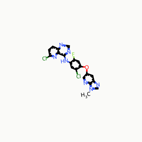 Cn1cnc2cc(Oc3cc(F)c(Nc4ncnc5ccc(Cl)nc45)cc3Cl)cnc21